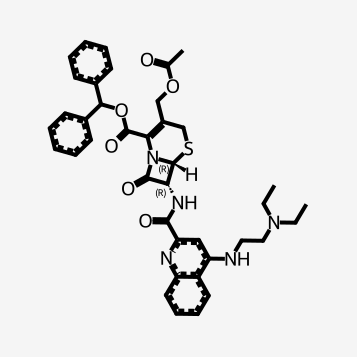 CCN(CC)CCNc1cc(C(=O)N[C@@H]2C(=O)N3C(C(=O)OC(c4ccccc4)c4ccccc4)=C(COC(C)=O)CS[C@H]23)nc2ccccc12